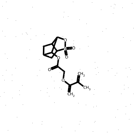 C=C(C)C(=C)OCC(=O)OC1C2CC3C1OS(=O)(=O)C3C2